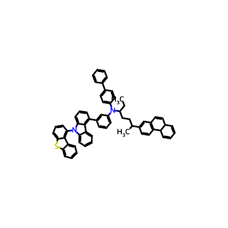 CCC(CCC(C)c1ccc2c(c1)C=CC1C=CC=CC21)N(c1ccc(-c2ccccc2)cc1)c1cccc(-c2cccc3c2c2ccccc2n3-c2cccc3sc4ccccc4c23)c1